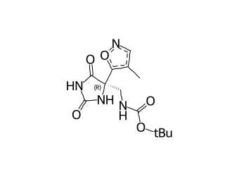 Cc1cnoc1[C@@]1(CNC(=O)OC(C)(C)C)NC(=O)NC1=O